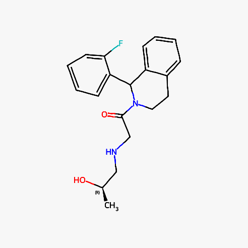 C[C@@H](O)CNCC(=O)N1CCc2ccccc2C1c1ccccc1F